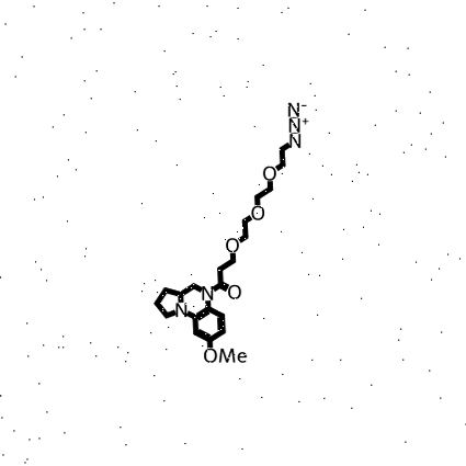 COc1ccc2c(c1)N1CCCC1CN2C(=O)CCOCCOCCOCCN=[N+]=[N-]